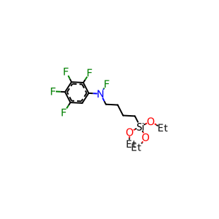 CCO[Si](CCCCN(F)c1cc(F)c(F)c(F)c1F)(OCC)OCC